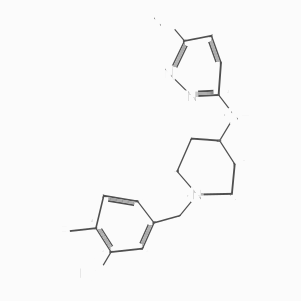 N#Cc1ccc(NC2CCN(Cc3ccc(F)c(C(F)(F)F)c3)CC2)nn1